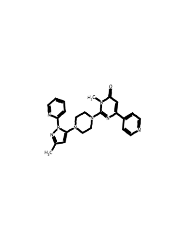 Cc1cc(N2CCN(c3nc(-c4ccncc4)cc(=O)n3C)CC2)n(-c2ccccn2)n1